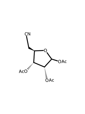 CC(=O)OC1O[C@H](CC#N)[C@@H](OC(C)=O)[C@H]1OC(C)=O